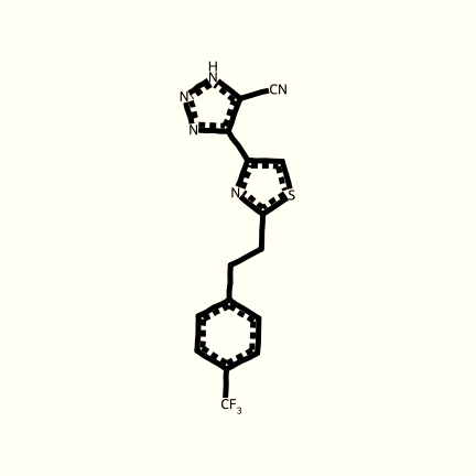 N#Cc1[nH]nnc1-c1csc(CCc2ccc(C(F)(F)F)cc2)n1